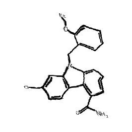 CCOc1ccccc1Cn1c2cc(Cl)c[c]c2c2c(C(N)=O)cccc21